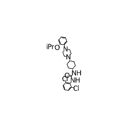 CC(C)Oc1ccccc1N1CCN([C@H]2CC[C@@H](NC(=O)Nc3c(Cl)cccc3Cl)CC2)CC1